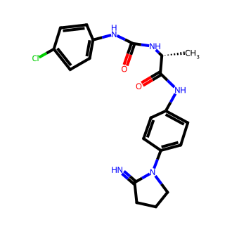 C[C@@H](NC(=O)Nc1ccc(Cl)cc1)C(=O)Nc1ccc(N2CCCC2=N)cc1